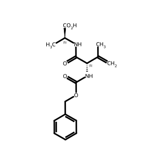 C=C(C)[C@H](NC(=O)OCc1ccccc1)C(=O)N[C@@H](C)C(=O)O